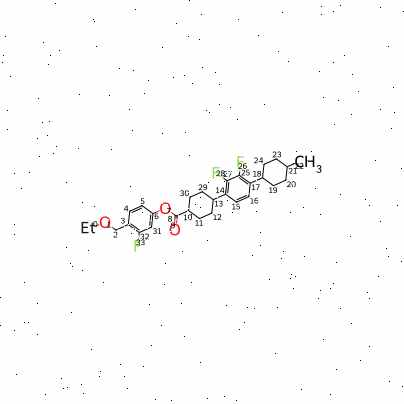 CCOCc1ccc(OC(=O)C2CCC(c3ccc(C4CCC(C)CC4)c(F)c3F)CC2)cc1F